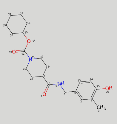 Cc1cc(CNC(=O)C2CCN(C(=O)OC3CCCCC3)CC2)ccc1O